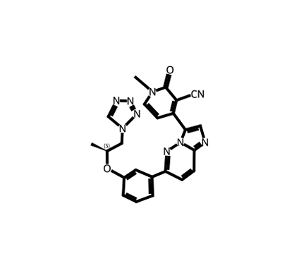 C[C@@H](Cn1cnnn1)Oc1cccc(-c2ccc3ncc(-c4ccn(C)c(=O)c4C#N)n3n2)c1